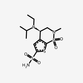 CCN(C(C)C)[C@H]1CN(C)S(=O)(=O)c2sc(S(N)(=O)=O)cc21